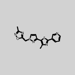 Cc1noc(Cn2ccc(-c3sc(-c4cccnc4)nc3C)n2)n1